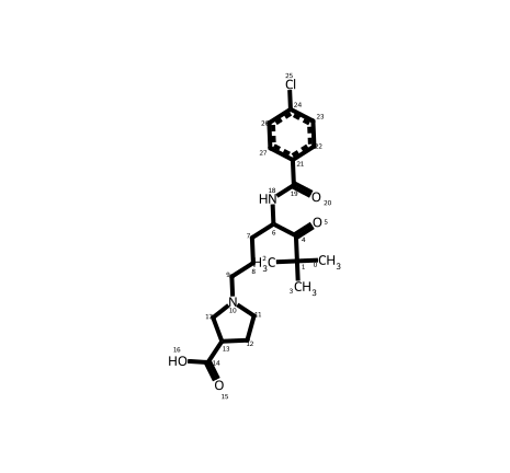 CC(C)(C)C(=O)C(CCCN1CCC(C(=O)O)C1)NC(=O)c1ccc(Cl)cc1